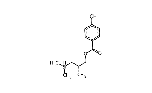 CC(COC(=O)c1ccc(O)cc1)C[SiH](C)C